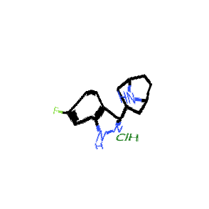 Cl.Fc1ccc2c(C3CC4CCC(C3)N4)n[nH]c2c1